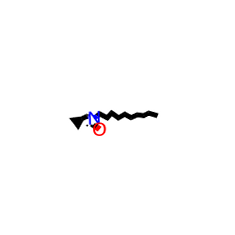 CCCCCCCCCCN([C]=O)CC1CC1